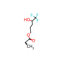 C=CC(=O)OCCCC(O)C(F)(F)F